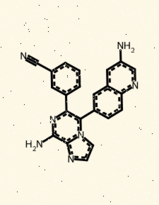 N#Cc1cccc(-c2nc(N)c3nccn3c2-c2ccc3ncc(N)cc3c2)c1